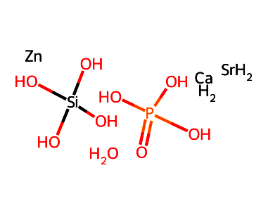 O.O=P(O)(O)O.O[Si](O)(O)O.[CaH2].[SrH2].[Zn]